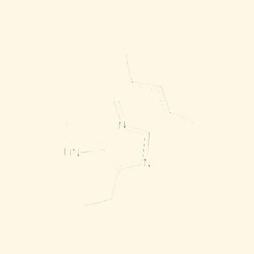 CCc1nc2c(C)cc(C)cn2c1NC